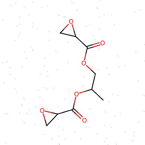 CC(COC(=O)C1CO1)OC(=O)C1CO1